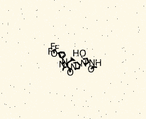 CC(=O)N[C@@H]1C[C@@H](CO)N(C2CCN(C(=O)c3c(C)nn(-c4cccc(OC(F)(F)F)c4)c3C3CC3)CC2)C1